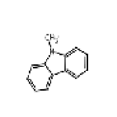 [CH2]n1c2ccccc2c2ccccc21